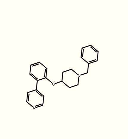 c1ccc(CN2CCC(Oc3ccccc3-c3ccncc3)CC2)cc1